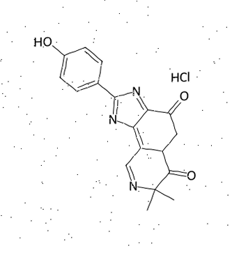 CC1(C)N=CC2=C3N=C(c4ccc(O)cc4)N=C3C(=O)CC2C1=O.Cl